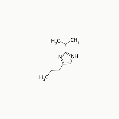 CCCc1c[nH]c(C(C)C)n1